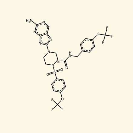 Nc1ncc2sc(N3CCN(S(=O)(=O)c4ccc(OC(F)(F)F)cc4)[C@@H](C(=O)NCc4ccc(OC(F)(F)F)cc4)C3)nc2n1